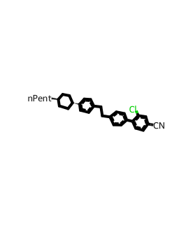 CCCCC[C@H]1CC[C@H](c2ccc(CCc3ccc(-c4ccc(C#N)cc4Cl)cc3)cc2)CC1